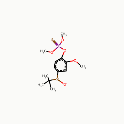 COc1cc([S+]([O-])C(C)(C)C)ccc1OP(=S)(OC)OC